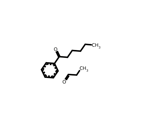 CCC=O.CCCCCC(=O)c1ccccc1